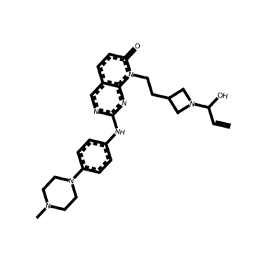 C=CC(O)N1CC(CCn2c(=O)ccc3cnc(Nc4ccc(N5CCN(C)CC5)cc4)nc32)C1